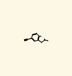 C#Cc1ccc2c(c1)CC(C)O2